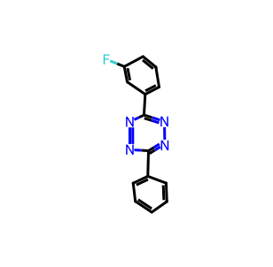 Fc1cccc(-c2nnc(-c3ccccc3)nn2)c1